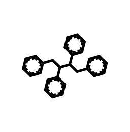 c1ccc(CC(c2ccccc2)C(Cc2ccccc2)c2ccccc2)cc1